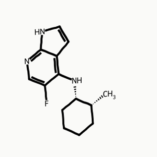 C[C@@H]1CCCC[C@@H]1Nc1c(F)cnc2[nH]ccc12